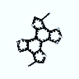 Fc1csc2c1c1nsnc1c1c3scc(F)c3c3nsnc3c21